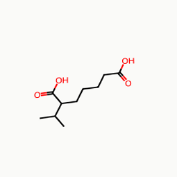 CC(C)C(CCCCC(=O)O)C(=O)O